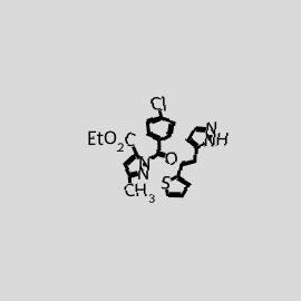 C(=C\c1cccs1)/c1ccn[nH]1.CCOC(=O)c1cc(C)nn1C(=O)c1ccc(Cl)cc1